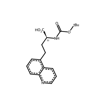 CC(C)(C)OC(=O)N[C@@H](CCc1cccc2ncccc12)C(=O)O